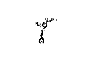 CC(C)(C)OC(=O)N1C[C@H](N=[N+]=[N-])[C@@H](OCC#Cc2ccccc2)C1